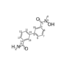 CN(O)C(=O)c1cccc(-c2cccc(C(N)=O)c2)c1